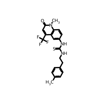 Cc1ccc(CCNC(=S)Nc2ccc3c(c2)c(C(F)(F)F)cc(=O)n3C)cc1